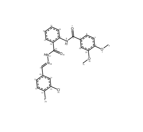 COc1ccc(C(=O)Nc2ccccc2C(=O)NN=Cc2ccc(F)c(Cl)c2)cc1OC